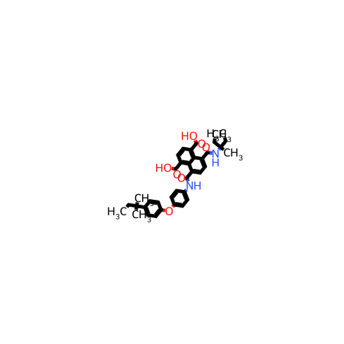 CCC(C)(CC)NC(=O)c1ccc(C(=O)Nc2ccc(Oc3ccc(C(C)(C)CC)cc3)cc2)c2c(C(=O)O)ccc(C(=O)O)c12